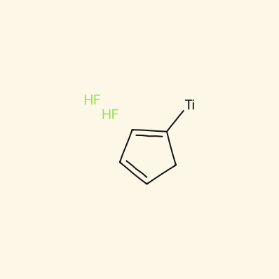 F.F.[Ti][C]1=CC=CC1